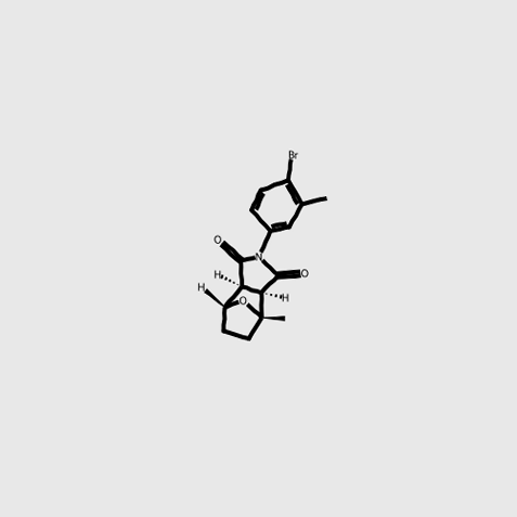 Cc1cc(N2C(=O)[C@H]3[C@@H](C2=O)[C@]2(C)CC[C@H]3O2)ccc1Br